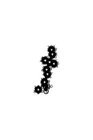 Cn1c(=O)n(-c2ccccc2)c2ccc(-c3ccc4cc(-c5c6ccccc6c(-c6ccc7ccccc7c6)c6ccccc56)ccc4c3)cc21